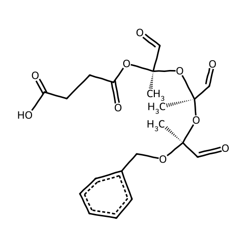 C[C@](C=O)(O[C@@](C)(C=O)OCc1ccccc1)O[C@](C)(C=O)OC(=O)CCC(=O)O